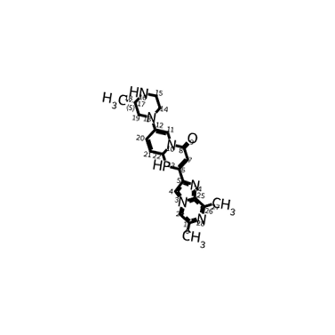 Cc1cn2cc(C3=CC(=O)N4C=C(N5CCN[C@@H](C)C5)C=CC4P3)nc2c(C)n1